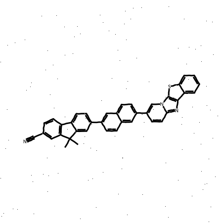 CC1(C)c2cc(C#N)ccc2-c2ccc(-c3ccc4cc(-c5ccc6nc7c8ccccc8sc7n6c5)ccc4c3)cc21